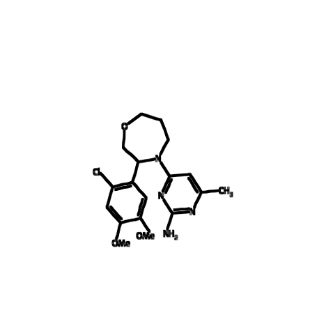 COc1cc(Cl)c(C2COCCCN2c2cc(C)nc(N)n2)cc1OC